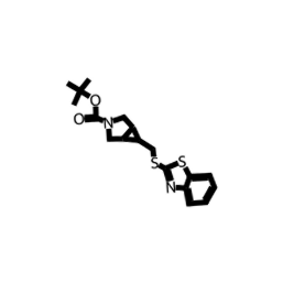 CC(C)(C)OC(=O)N1CC2C(CSc3nc4ccccc4s3)C2C1